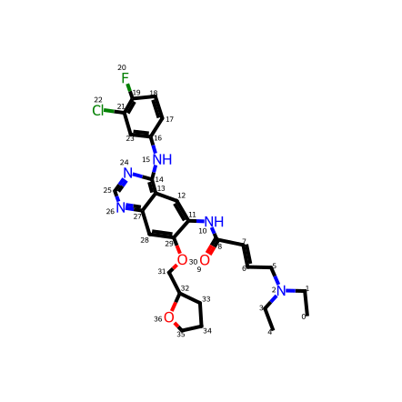 CCN(CC)CC=CC(=O)Nc1cc2c(Nc3ccc(F)c(Cl)c3)ncnc2cc1OCC1CCCO1